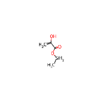 C=C(O)C(=O)O[SiH2]C